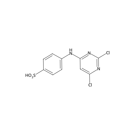 O=S(=O)(O)c1ccc(Nc2cc(Cl)nc(Cl)n2)cc1